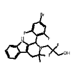 CC1(C)Cc2c([nH]c3ccccc23)C(c2c(F)cc(Br)cc2F)N1CC(F)(F)CO